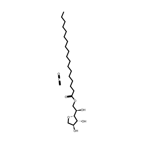 C=C=O.CCCCCCCCCCCCCCCCCC(=O)OC[C@@H](O)[C@H]1OC[C@H](O)[C@H]1O